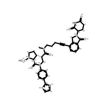 CN(CCCC#Cc1cccc2c1CN(C1CCC(=O)NC1=O)C2=O)C(=O)CCN(C(=O)[C@@H]1CCCN1C(=O)O)c1ccc(-c2nccs2)cc1